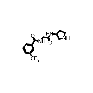 O=C(CNC(=O)c1cccc(C(F)(F)F)c1)NC1CCNC1